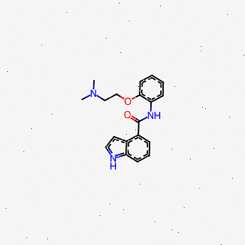 CN(C)CCOc1ccccc1NC(=O)c1cccc2[nH]ccc12